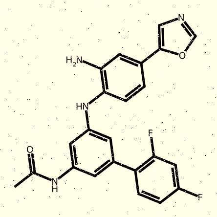 CC(=O)Nc1cc(Nc2ccc(-c3cnco3)cc2N)cc(-c2ccc(F)cc2F)c1